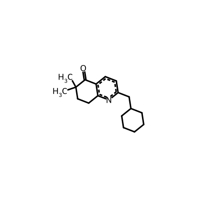 CC1(C)CCc2nc(CC3CCCCC3)ccc2C1=O